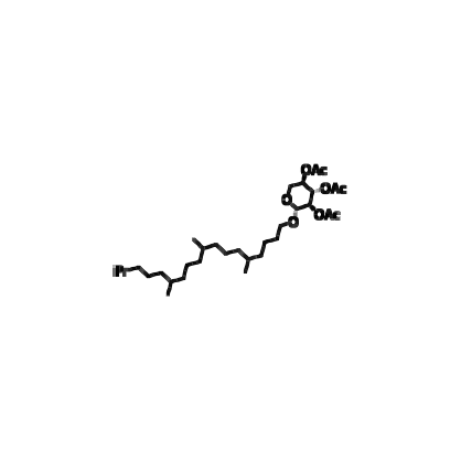 CC(=O)O[C@@H]1[C@@H](OC(C)=O)[C@H](OCCCCC(C)CCCC(C)CCCC(C)CCCC(C)C)OC[C@H]1OC(C)=O